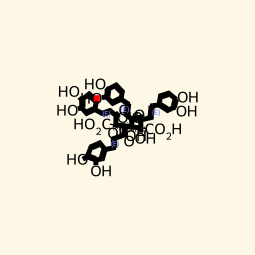 O=C(O)[C@@](O)(C(=O)/C=C/c1ccc(O)c(O)c1)[C@](O)(C(=O)/C=C/c1ccc(O)c(O)c1)[C@@](O)(C(=O)/C=C/c1ccc(O)c(O)c1)[C@](O)(C(=O)O)C(=O)/C=C/c1ccc(O)c(O)c1